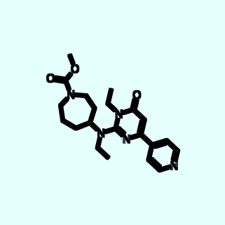 CCN(c1nc(-c2ccncc2)cc(=O)n1CC)C1CCCN(C(=O)OC)CC1